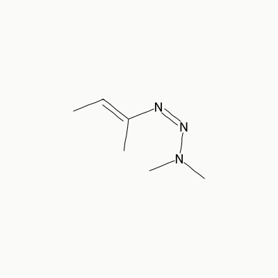 C/C=C(C)/N=N\N(C)C